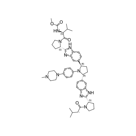 COC(=O)N[C@H](C(=O)N1CCC[C@H]1c1nc2cc([C@H]3CC[C@H](c4ccc5nc([C@@H]6CCCN6C(=O)[CH]C(C)C)[nH]c5c4)N3c3ccc(N4CCN(C)CC4)cc3)ccc2[nH]1)C(C)C